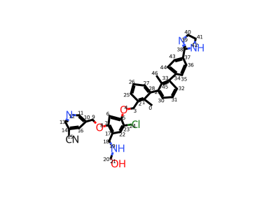 Cc1c(COc2cc(OCc3cncc(C#N)c3)c(CNCO)cc2Cl)cccc1-c1cccc(-c2ccc(C3=NCCN3)cc2)c1C